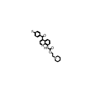 O=C(Nc1cccc2c(C(=O)c3ccc(F)cc3)ccnc12)OCCN1CCCCC1